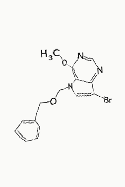 COc1ncnc2c(Br)cn(COCc3ccccc3)c12